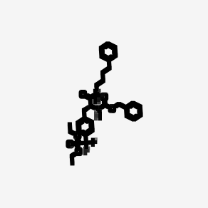 CCOP(=O)(OCC)C(F)(F)c1ccc(C[C@H](NC(=O)OCc2ccccc2)C(=O)NCCCCc2ccccc2)cc1